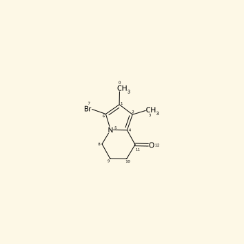 Cc1c(C)c2n(c1Br)CCCC2=O